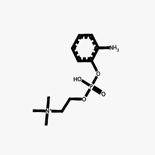 C[N+](C)(C)CCOP(=O)(O)Oc1ccccc1N